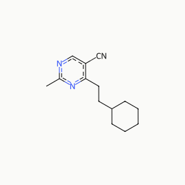 Cc1ncc(C#N)c(CCC2CCCCC2)n1